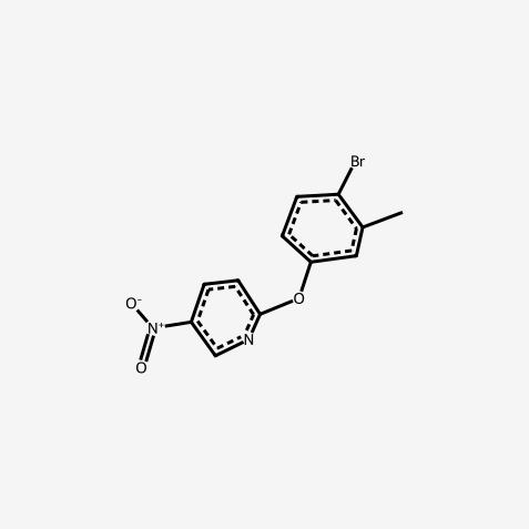 Cc1cc(Oc2ccc([N+](=O)[O-])cn2)ccc1Br